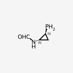 O=CN[C@H]1C[C@@H]1P